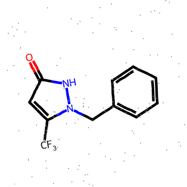 O=c1cc(C(F)(F)F)n(Cc2ccccc2)[nH]1